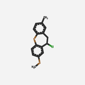 CSc1ccc2c(c1)C(Cl)Cc1cc(C)ccc1S2